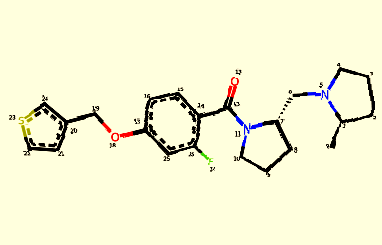 C[C@@H]1CCCN1C[C@@H]1CCCN1C(=O)c1ccc(OCc2ccsc2)cc1F